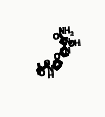 Cc1ccoc1C(=O)Nc1cccc(Oc2ccnc(-c3cc(C(N)=O)cn3O)c2)c1